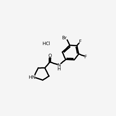 Cl.O=C(Nc1cc(F)c(F)c(Br)c1)C1CCNC1